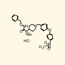 CCCCN(C(=O)NOCc1ccccc1)C1CCN(Cc2ccc(Oc3ccc(NS(C)(=O)=O)cc3)cc2)CC1.Cl